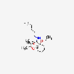 CCCCCNC(C)C1(OCC)CCCC[Si]1(OCC)OCC